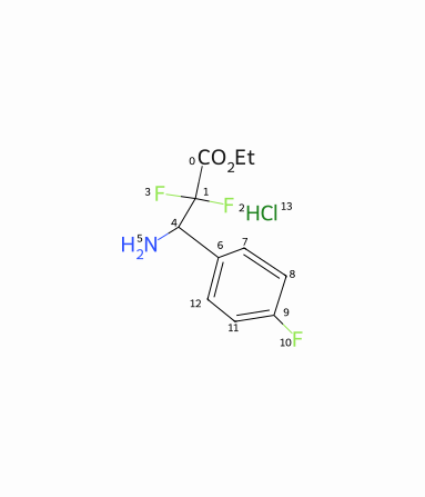 CCOC(=O)C(F)(F)C(N)c1ccc(F)cc1.Cl